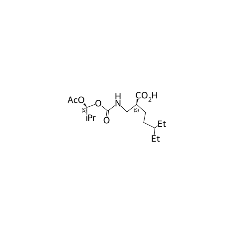 CCC(CC)CC[C@@H](CNC(=O)O[C@H](OC(C)=O)C(C)C)C(=O)O